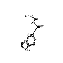 O=CNOC(=O)c1cnc2[nH]ccc2c1